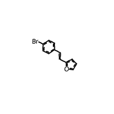 Brc1ccc(C=Cc2ccco2)cc1